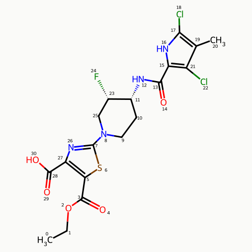 CCOC(=O)c1sc(N2CC[C@@H](NC(=O)c3[nH]c(Cl)c(C)c3Cl)[C@@H](F)C2)nc1C(=O)O